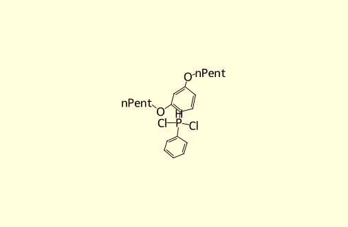 CCCCCOc1ccc([PH](Cl)(Cl)c2ccccc2)c(OCCCCC)c1